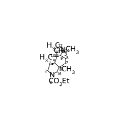 CCOC(=O)N1CC=C2C(C)(CCC(N(C)C)C2(C)C)C1